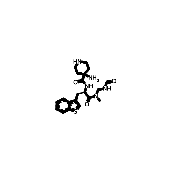 CN(CNC=O)C(=O)[C@@H](Cc1csc2ccccc12)NC(=O)C1(N)CCNCC1